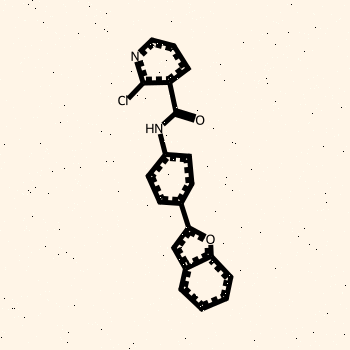 O=C(Nc1ccc(-c2cc3ccccc3o2)cc1)c1cccnc1Cl